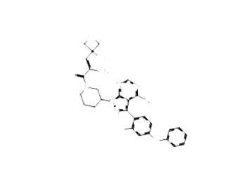 CC1(/C=C(\C#N)C(=O)N2CCCC(n3nc(-c4ccc(Oc5ccccc5)cc4F)c4c(N)ncnc43)C2)COC1